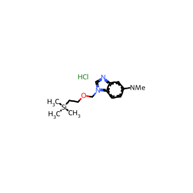 CNc1ccc2c(c1)ncn2COCC[Si](C)(C)C.Cl